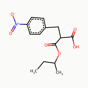 CCC(C)OC(=O)C(Cc1ccc([N+](=O)[O-])cc1)C(=O)O